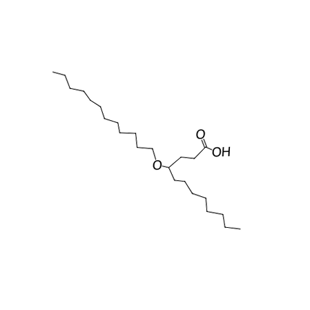 CCCCCCCCCCCCOC(CCCCCCCC)CCC(=O)O